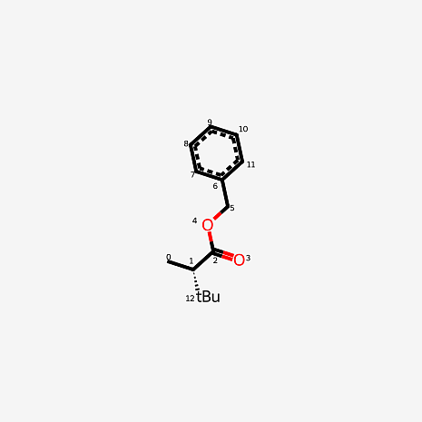 C[C@H](C(=O)OCc1ccccc1)C(C)(C)C